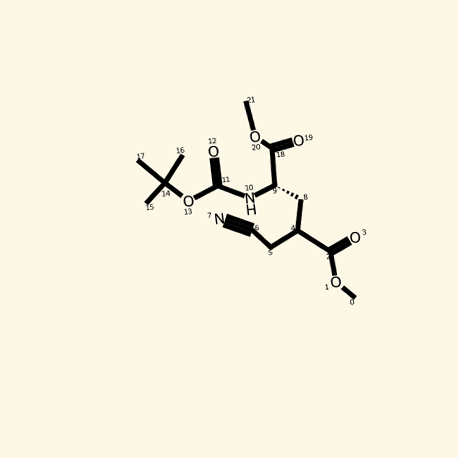 COC(=O)C(CC#N)C[C@H](NC(=O)OC(C)(C)C)C(=O)OC